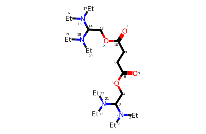 CCN(CC)C(COC(=O)CCC(=O)OCC(N(CC)CC)N(CC)CC)N(CC)CC